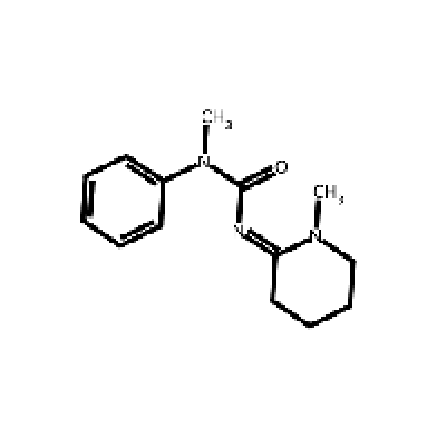 CN1CCCCC1=NC(=O)N(C)c1ccccc1